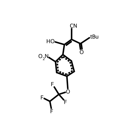 CC(C)(C)C(=O)C(C#N)=C(O)c1ccc(OC(F)(F)C(F)F)cc1[N+](=O)[O-]